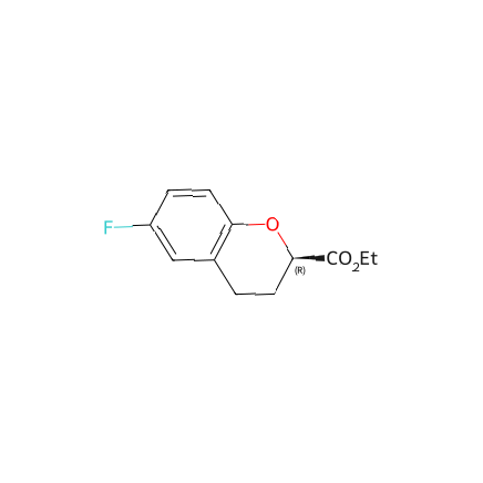 CCOC(=O)[C@H]1CCc2cc(F)ccc2O1